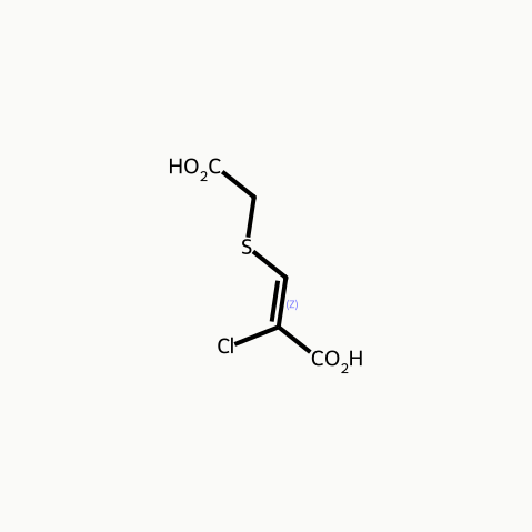 O=C(O)CS/C=C(\Cl)C(=O)O